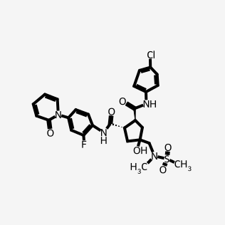 CN(CC1(O)C[C@H](C(=O)Nc2ccc(Cl)cc2)[C@@H](C(=O)Nc2ccc(-n3ccccc3=O)cc2F)C1)S(C)(=O)=O